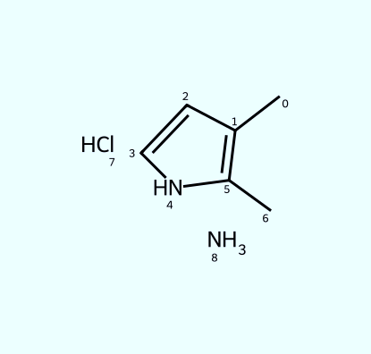 Cc1cc[nH]c1C.Cl.N